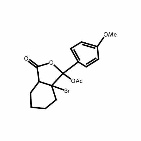 COc1ccc(C2(OC(C)=O)OC(=O)C3CCCCC32Br)cc1